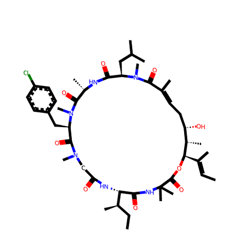 C/C=C(\C)[C@H]1OC(=O)C(C)(C)NC(=O)[C@H]([C@H](C)CC)NC(=O)CN(C)C(=O)[C@@H](Cc2ccc(Cl)cc2)N(C)C(=O)[C@H](C)NC(=O)[C@@H](CC(C)C)N(C)C(=O)/C(C)=C/C[C@H](O)[C@@H]1C